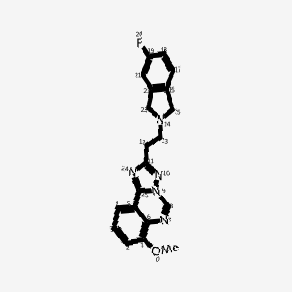 COc1cccc2c1ncn1nc(CCN3Cc4ccc(F)cc4C3)nc21